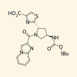 CC(C)(C)OC(=O)N[C@@H]1C[C@@H](c2nc(C(=O)O)cs2)N(C(=O)c2cn3ccccc3n2)C1